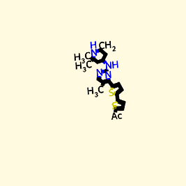 C=C1CC(Nc2ncc(C)c(-c3ccc(-c4ccc(C(C)=O)s4)s3)n2)CC(C)(C)N1